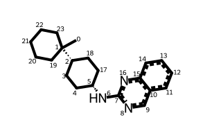 CC1([C@H]2CC[C@@H](Nc3ncc4ccccc4n3)CC2)CCCCC1